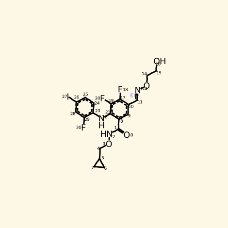 O=C(NOCC1CC1)c1cc(/C=N/OCCO)c(F)c(F)c1Nc1ccc(I)cc1F